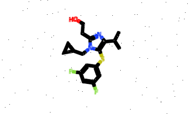 CC(C)c1nc(CCO)n(CC2CC2)c1Sc1cc(F)cc(F)c1